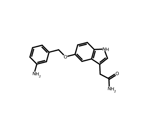 NC(=O)Cc1c[nH]c2ccc(OCc3cccc(N)c3)cc12